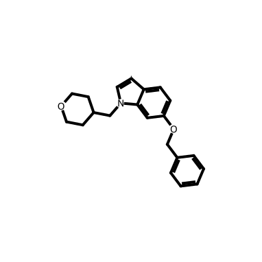 [c]1cn(CC2CCOCC2)c2cc(OCc3ccccc3)ccc12